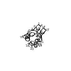 C=C1C2CCC(C2)C1[Si]1(C2C(=C)C3CCC2C3)O[Si](C)(C)O[Si](C)(C)O[Si](C)(C)O1